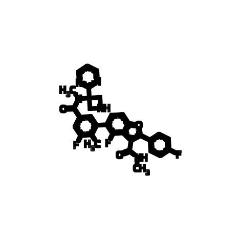 CNC(=O)c1c(-c2ccc(F)cc2)oc2ccc(-c3cc(C(=O)N(C)C4(c5ncccn5)CNC4)cc(F)c3C)c(F)c12